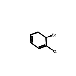 ClC1=CC=CC[C@H]1Br